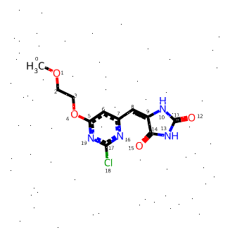 COCCOc1cc(C=C2NC(=O)NC2=O)nc(Cl)n1